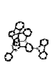 c1ccc(-c2nc(-c3ccc(-n4c5ccccc5c5ccccc54)cc3)nc(-c3cccc4c3C3(c5ccccc5Sc5ccccc53)c3ccccc3-4)n2)cc1